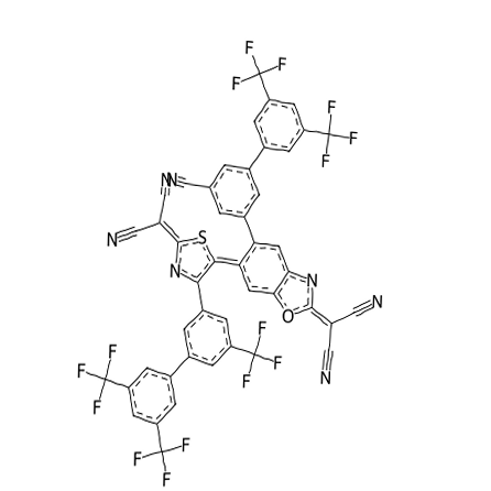 N#CC(C#N)=c1nc2cc(-c3cc(C#N)cc(-c4cc(C(F)(F)F)cc(C(F)(F)F)c4)c3)/c(=c3\sc(=C(C#N)C#N)nc3-c3cc(-c4cc(C(F)(F)F)cc(C(F)(F)F)c4)cc(C(F)(F)F)c3)cc2o1